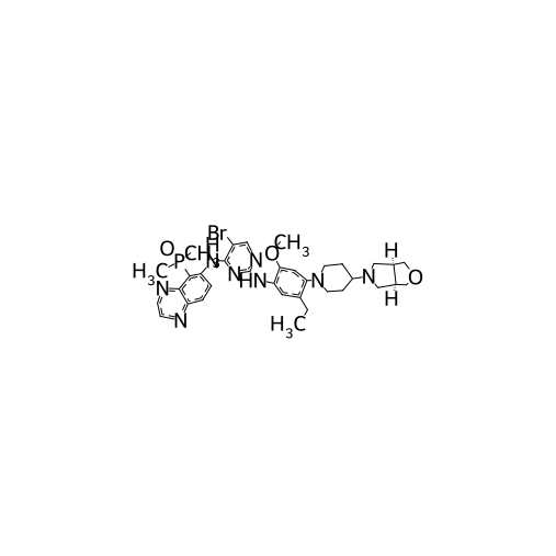 CCc1cc(Nc2ncc(Br)c(Nc3ccc4nccnc4c3P(C)(C)=O)n2)c(OC)cc1N1CCC(N2C[C@H]3COC[C@H]3C2)CC1